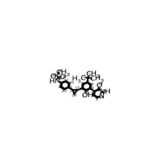 CC(C)(C)c1cc(-c2ccn[nH]c2=O)c(O)c(C2CC2c2ccc(NS(C)(=O)=O)cc2)c1